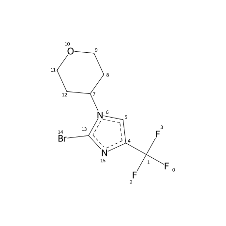 FC(F)(F)c1cn(C2CCOCC2)c(Br)n1